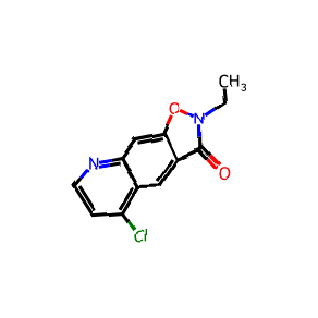 CCn1oc2cc3nccc(Cl)c3cc2c1=O